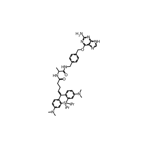 CC(NC(=O)CCC=C1c2ccc(N(C)C)cc2[Si](C(C)C)(C(C)C)c2cc(N(C)C)ccc21)C(=O)NCc1ccc(COc2nc(N)nc3[nH]cnc23)cc1